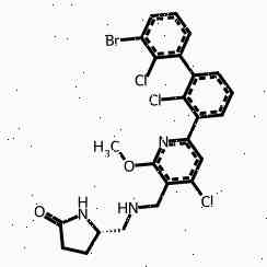 COc1nc(-c2cccc(-c3cccc(Br)c3Cl)c2Cl)cc(Cl)c1CNC[C@@H]1CCC(=O)N1